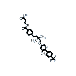 Cc1cc(OCC(C)(C)CCc2ccc(C(=O)NCCC(=O)O)cc2)cnc1-c1ccc(C(F)(F)F)cc1